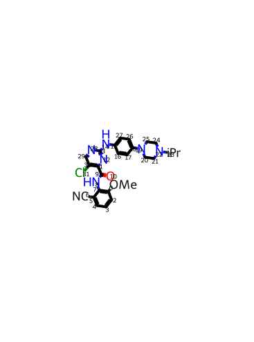 COc1cccc(C#N)c1NC(=O)c1nc(Nc2ccc(N3CCN(C(C)C)CC3)cc2)ncc1Cl